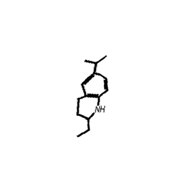 CCC1CCc2cc(C(C)C)ccc2N1